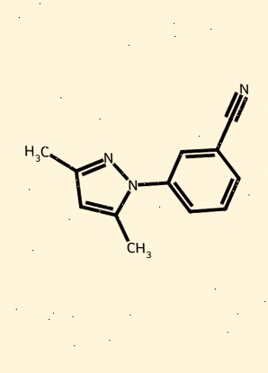 Cc1cc(C)n(-c2cccc(C#N)c2)n1